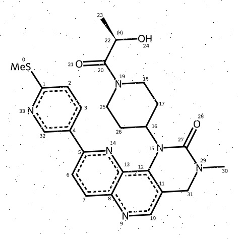 CSc1ccc(-c2ccc3ncc4c(c3n2)N(C2CCN(C(=O)[C@@H](C)O)CC2)C(=O)N(C)C4)cn1